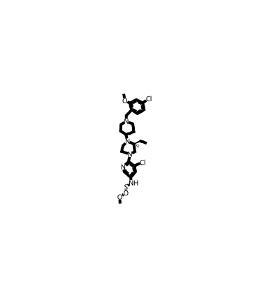 CC[C@H]1CN(c2ncc(NSOOC)cc2Cl)CCN1C1CCN(Cc2ccc(Cl)cc2OC)CC1